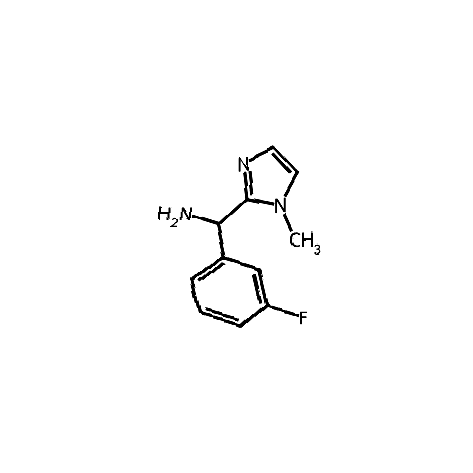 Cn1ccnc1C(N)c1cccc(F)c1